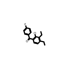 CCc1ccc(C(=O)c2ccc(F)cc2)c(Cl)c1CC